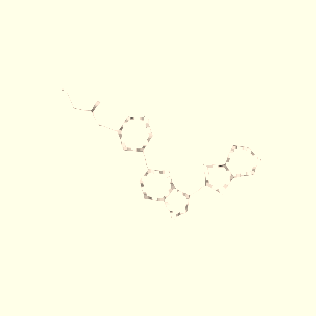 CC(C)(C)CC(=O)Nc1cncc(-c2ccc3[nH]cc(-c4nc5cnccc5[nH]4)c3n2)c1